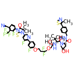 Cc1ncsc1-c1ccc(CNC(=O)[C@@H]2C[C@@H](O)CN2C(=O)[C@@H](NC(=O)COCC(F)(F)CCOc2ccc(-c3ncc(N4C(=S)N(c5ccc(C#N)c(C(F)(F)F)c5F)C(=O)C4(C)C)cc3F)cc2F)C(C)(C)C)cc1